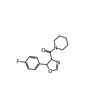 O=C(C1N=COC1c1ccc(F)cc1)N1CCCCC1